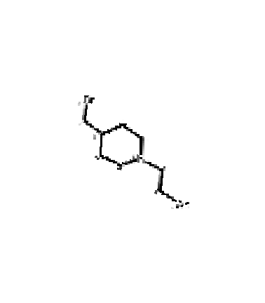 CC(=O)CCN1CCC(CBr)CC1